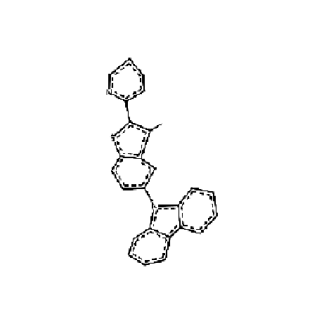 Cc1c(-c2ccccn2)sc2ccc(-n3c4ccccc4c4ccccc43)cc12